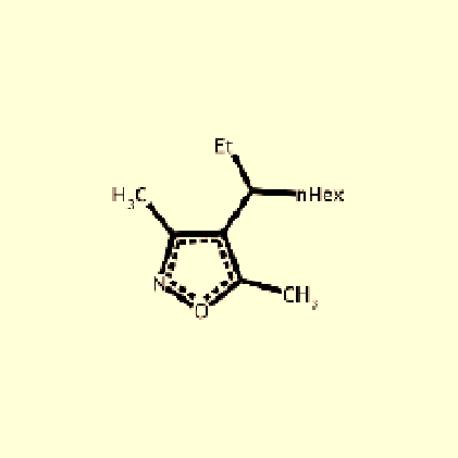 CCCCCCC(CC)c1c(C)noc1C